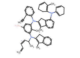 Bc1cc(N(C2=C(C)c3cccc(N(C4=CCCC=C4)C4=C(C)C=CCC4)c3C2)c2ccccc2C#C)c(C)c(N(C2=C(C)c3ccccc3C2)C(C)/C=C\C=C)c1